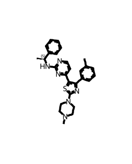 Cc1cccc(-c2nc(N3CCN(C)CC3)sc2-c2ccnc(N[C@@H](C)c3ccccc3)n2)c1